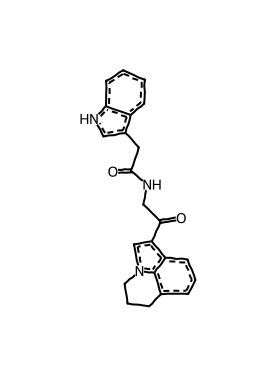 O=C(Cc1c[nH]c2ccccc12)NCC(=O)c1cn2c3c(cccc13)CCC2